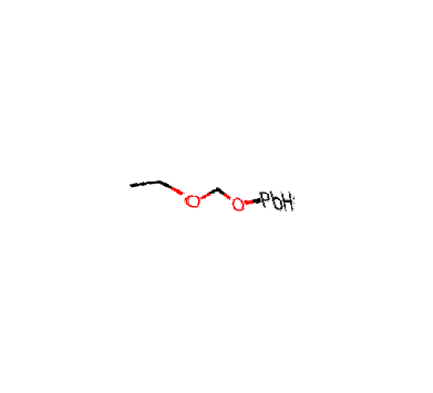 CCOC[O][PbH]